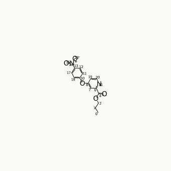 CCCOC(=O)c1cc(Oc2ccc([N+](=O)[O-])cc2)ccn1